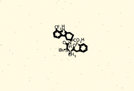 CCC(C)[C@@H](C(=O)N[C@]1(C(=O)O)CCc2[nH]c3c(C(F)(F)F)cccc3c2C1)N(C)C(=O)Cc1ccccc1F